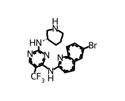 FC(F)(F)c1cnc(N[C@H]2CCCNC2)nc1Nc1ccc2cc(Br)ccc2n1